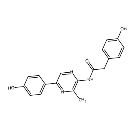 Cc1nc(-c2ccc(O)cc2)cnc1NC(=O)Cc1ccc(O)cc1